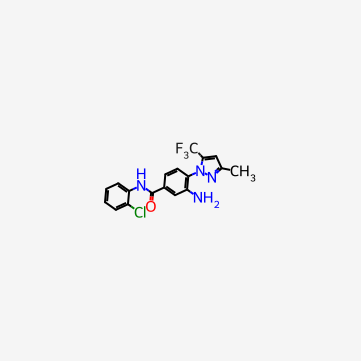 Cc1cc(C(F)(F)F)n(-c2ccc(C(=O)Nc3ccccc3Cl)cc2N)n1